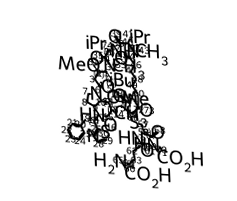 CC[C@H](C)C([C@@H](CC(=O)N1CCCC1[C@H](OC)[C@@H](C)C(=O)N[C@@H](Cc1ccccc1)c1nccs1)OC)N(C)C(=O)[C@@H](NC(=O)C(C(C)C)N(C)C(=O)CCCCCN1C(=O)CC(SC[C@H](NC(=O)CC[C@H](N)C(=O)O)C(=O)NCC(=O)O)C1=O)C(C)C